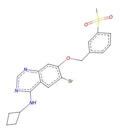 CS(=O)(=O)c1cccc(COc2cc3ncnc(NC4CCC4)c3cc2Br)c1